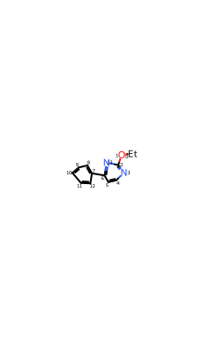 CCOc1nccc(-c2ccccc2)n1